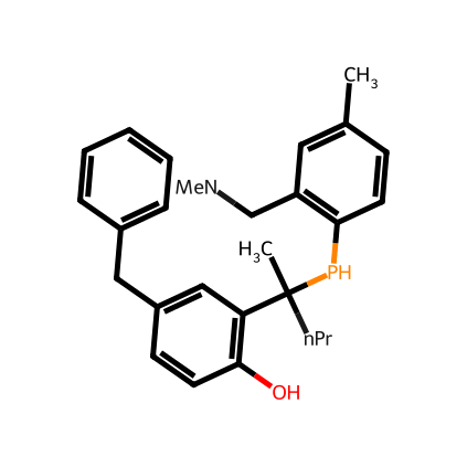 CCCC(C)(Pc1ccc(C)cc1CNC)c1cc(Cc2ccccc2)ccc1O